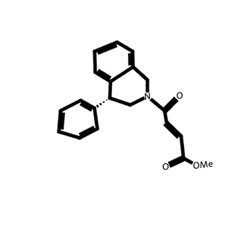 COC(=O)/C=C/C(=O)N1Cc2ccccc2[C@@H](c2ccccc2)C1